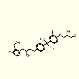 CC(C)(c1ccc(OC[C@@H](O)Cn2nnc(I)c2CO)cc1)c1ccc(OC[C@H](O)CCl)c(I)c1